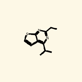 CCc1nc(C(C)C)c2ccsc2n1